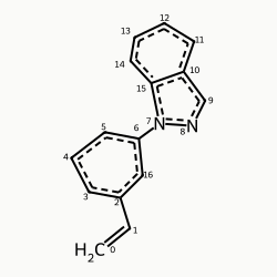 C=Cc1cccc(-n2ncc3ccccc32)c1